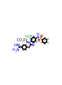 CCOC(=O)Cn1c(Cc2ccc(C(=N)N)cc2)nc2cc(NS(=O)(=O)c3ccccc3)ccc21.Cl